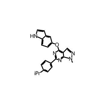 CC(C)c1ccc(-c2nc(Oc3ccc4[nH]ccc4c3)c3cnn(C)c3n2)cc1